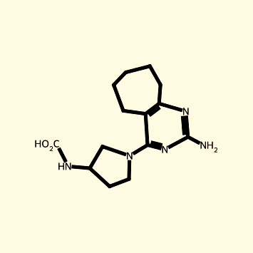 Nc1nc2c(c(N3CCC(NC(=O)O)C3)n1)CCCCC2